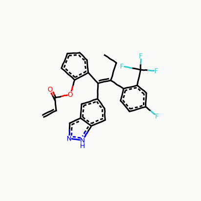 C=CC(=O)Oc1ccccc1/C(=C(\CC)c1ccc(F)cc1C(F)(F)F)c1ccc2[nH]ncc2c1